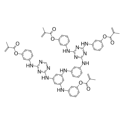 C=C(C)C(=O)Oc1cccc(Nc2cc(Nc3cccc(Nc4nc(Nc5cccc(OC(=O)C(=C)C)c5)nc(Nc5cccc(OC(=O)C(=C)C)c5)n4)c3)cc(Nc3ncnc(Nc4cccc(OC(=O)C(=C)C)c4)n3)c2)c1